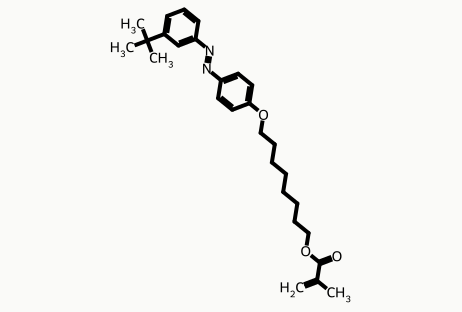 C=C(C)C(=O)OCCCCCCCCOc1ccc(N=Nc2cccc(C(C)(C)C)c2)cc1